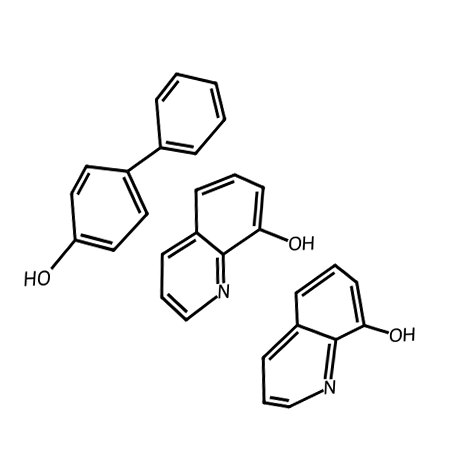 Oc1ccc(-c2ccccc2)cc1.Oc1cccc2cccnc12.Oc1cccc2cccnc12